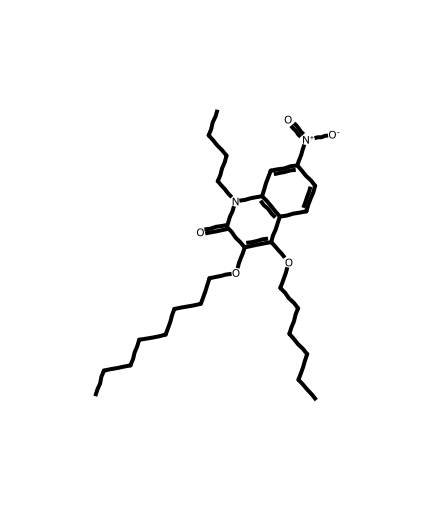 CCCCCCCCOc1c(OCCCCCC)c2ccc([N+](=O)[O-])cc2n(CCCC)c1=O